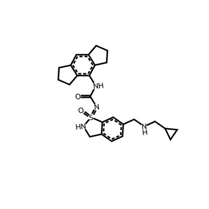 O=C(N=S1(=O)NCc2ccc(CNCC3CC3)cc21)Nc1c2c(cc3c1CCC3)CCC2